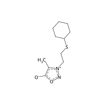 Cc1c([O-])on[n+]1CCSC1CCCCC1